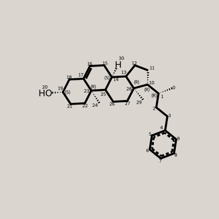 C[C@H](CCc1ccccc1)[C@H]1CCC2[C@@H]3CC=C4C[C@@H](O)CC[C@]4(C)C3CC[C@@]21C